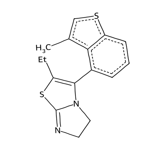 CCC1=C(c2cccc3scc(C)c23)N2CCN=C2S1